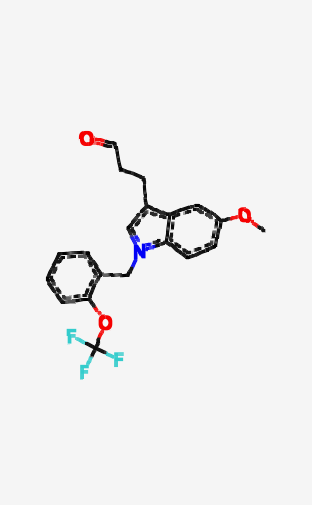 COc1ccc2c(c1)c(CCC=O)cn2Cc1ccccc1OC(F)(F)F